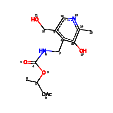 CC(=O)OC(C)OC(=O)NCc1c(CO)cnc(C)c1O